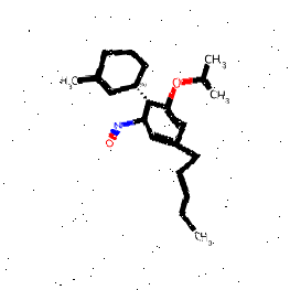 CCCCCC1=CC(N=O)C([C@H]2CCCC(C)C2)C(OC(C)C)=C1